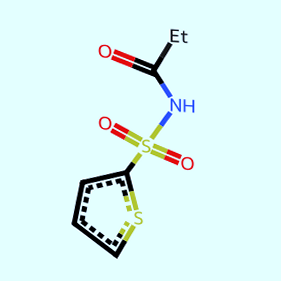 CCC(=O)NS(=O)(=O)c1cccs1